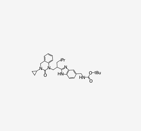 CC(C)CC(CN1C(=O)N(C2CC2)Cc2ccccc21)c1nc2cc(CNC(=O)OC(C)(C)C)ccc2[nH]1